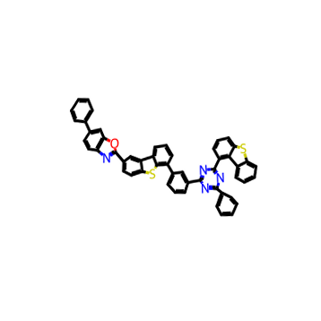 c1ccc(-c2ccc3nc(-c4ccc5sc6c(-c7cccc(-c8nc(-c9ccccc9)nc(-c9cccc%10sc%11ccccc%11c9%10)n8)c7)cccc6c5c4)oc3c2)cc1